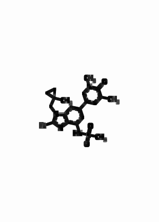 CCc1nc2c(NS(C)(=O)=O)cc(-c3cc(C)c(=O)n(C)c3)cc2n1CC1(C)CC1